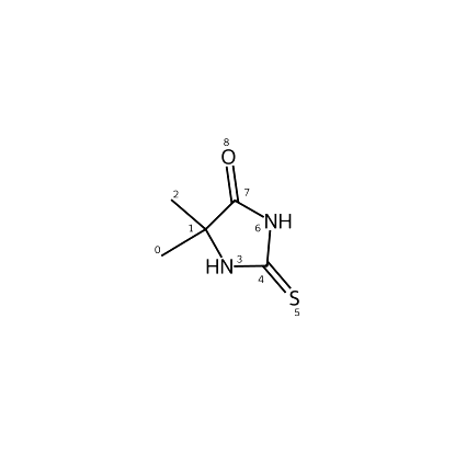 CC1(C)NC(=S)NC1=O